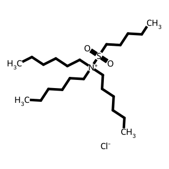 CCCCCC[N+](CCCCCC)(CCCCCC)S(=O)(=O)CCCCC.[Cl-]